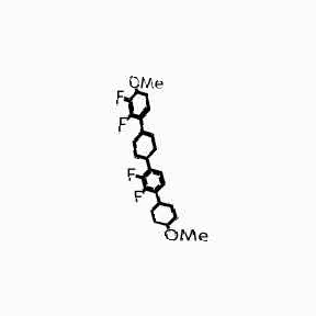 COC1CCC(c2ccc(C3CCC(C4=CCC(OC)C(F)=C4F)CC3)c(F)c2F)CC1